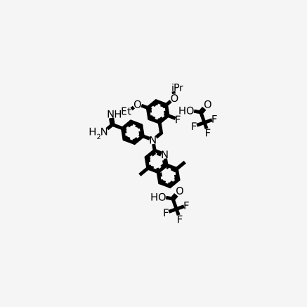 CCOc1cc(CN(c2ccc(C(=N)N)cc2)c2cc(C)c3cccc(C)c3n2)c(F)c(OC(C)C)c1.O=C(O)C(F)(F)F.O=C(O)C(F)(F)F